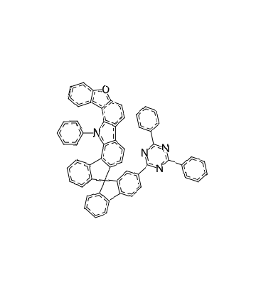 c1ccc(-c2nc(-c3ccccc3)nc(-c3ccc4c(c3)C3(c5ccccc5-4)c4ccccc4-c4c3ccc3c5ccc6oc7ccccc7c6c5n(-c5ccccc5)c43)n2)cc1